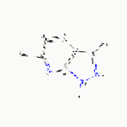 Cc1ccc2c(C)nn(C)c2n1